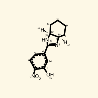 O=[N+]([O-])c1ccc(C2=N[C@@H]3CCCC[C@@H]3N2)cc1O